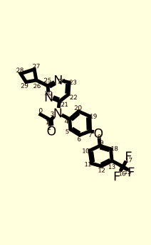 CC(=O)N(c1ccc(Oc2cccc(C(F)(F)F)c2)cc1)c1ccnc(C2CCC2)n1